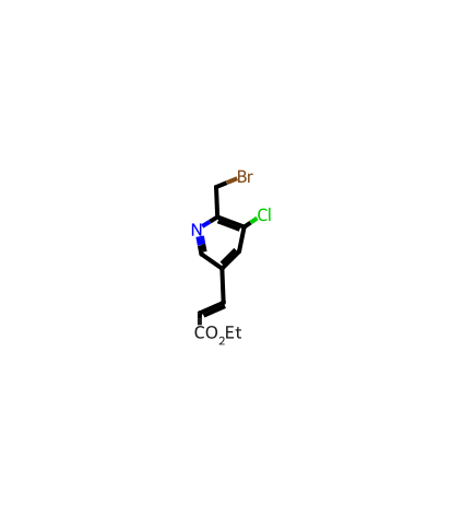 CCOC(=O)/C=C/c1cnc(CBr)c(Cl)c1